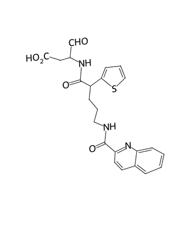 O=CC(CC(=O)O)NC(=O)C(CCCNC(=O)c1ccc2ccccc2n1)c1cccs1